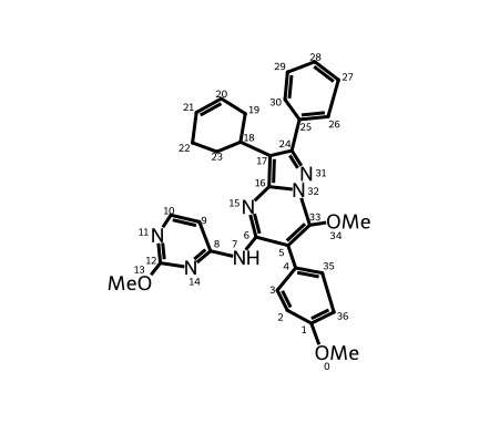 COc1ccc(-c2c(Nc3ccnc(OC)n3)nc3c(C4CC=CCC4)c(-c4ccccc4)nn3c2OC)cc1